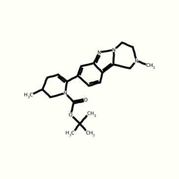 CC1CC=C(c2ccc3c4n(nc3c2)CCN(C)C4)N(C(=O)OC(C)(C)C)C1